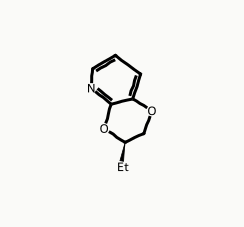 CC[C@@H]1COc2cccnc2O1